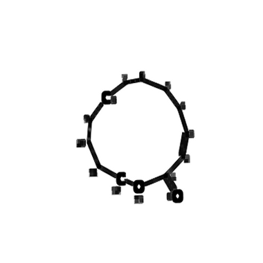 O=C1C=CCCCCCCCCCO1